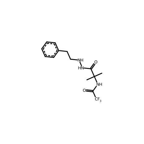 CC(C)(NC(=O)C(F)(F)F)C(=O)NNCCc1ccccc1